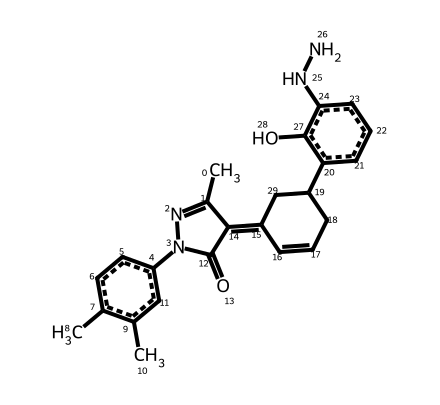 CC1=NN(c2ccc(C)c(C)c2)C(=O)C1=C1C=CCC(c2cccc(NN)c2O)C1